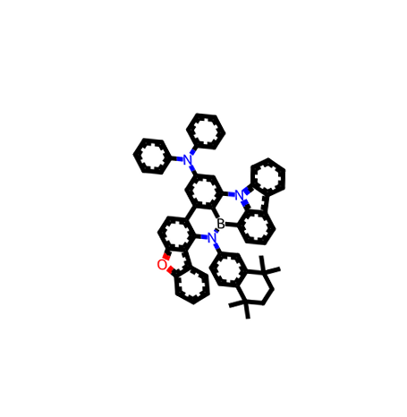 CC1(C)CCC(C)(C)c2cc(N3B4c5c(cc(N(c6ccccc6)c6ccccc6)cc5-n5c6ccccc6c6cccc4c65)-c4ccc5oc6ccccc6c5c43)ccc21